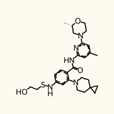 Cc1cc(NC(=O)c2ccc(NSCCO)cc2N2CCC3(CC2)CC3)nc(N2CCO[C@@H](C)C2)c1